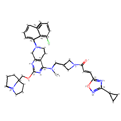 CN(CC1CN(C(=O)/C=C/c2nc(C3CC3)no2)C1)c1nc(OCC23CCCN2CCC3)nc2c1CCN(c1cccc3cccc(Cl)c13)C2